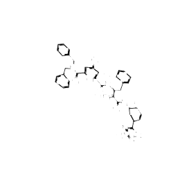 O=C(N[C@@H](Cc1ccccc1)[C@H](O)C(=O)NC1C=C(c2nn[nH]n2)C=CC1)c1cc(=O)cc(C(=O)N(Cc2ccccc2)Cc2ccccc2)o1